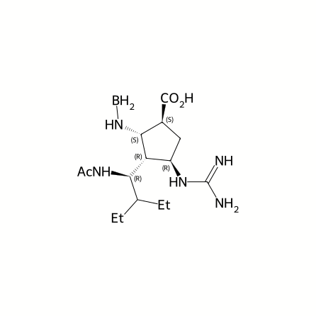 BN[C@H]1[C@@H]([C@H](NC(C)=O)C(CC)CC)[C@H](NC(=N)N)C[C@@H]1C(=O)O